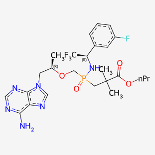 CCCOC(=O)C(C)(C)CP(=O)(CO[C@H](C)Cn1cnc2c(N)ncnc21)N[C@H](c1cccc(F)c1)C(F)(F)F